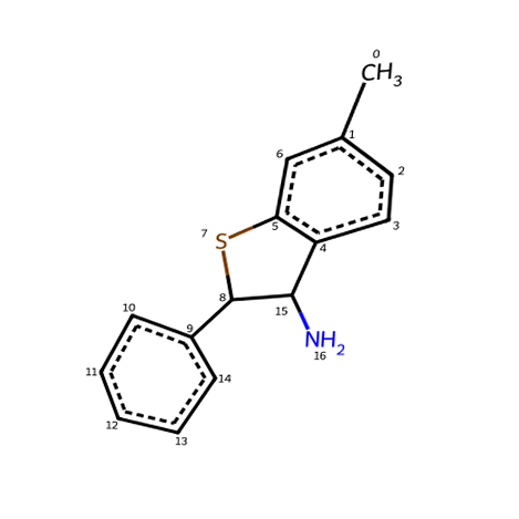 Cc1ccc2c(c1)SC(c1ccccc1)C2N